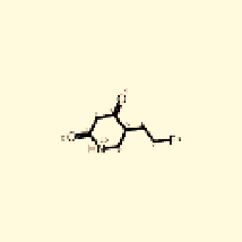 O=C1CC(=O)C(CCF)CN1